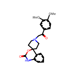 COc1ccc(C(=O)CN2CCC3(CC2)OC(=O)Nc2ccccc23)cc1OC